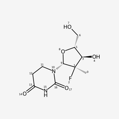 C[C@@]1(F)[C@H](O)[C@@H](CO)O[C@H]1N1CCC(=O)NC1=O